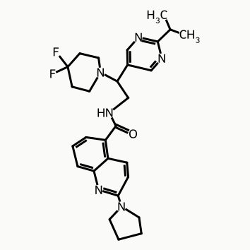 CC(C)c1ncc(C(CNC(=O)c2cccc3nc(N4CCCC4)ccc23)N2CCC(F)(F)CC2)cn1